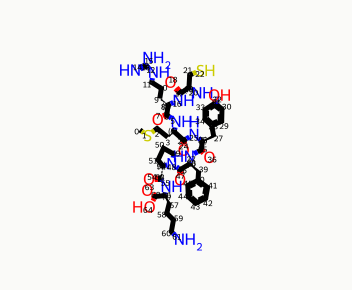 CSCC[C@H](NC(=O)[C@H](CCCNC(=N)N)NC(=O)[C@@H](N)CS)C(=O)N[C@@H](Cc1ccc(O)cc1)C(=O)N[C@@H](Cc1ccccc1)C(=O)N1CCC[C@H]1C(=O)N[C@@H](CCCCN)C(=O)O